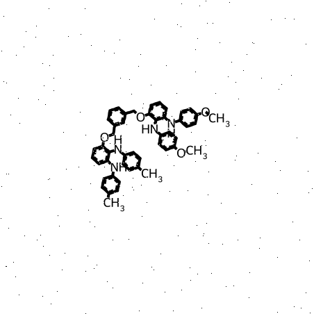 COc1ccc(Nc2cccc(OCc3cccc(COc4cccc(Nc5ccc(C)cc5)c4Nc4ccc(C)cc4)c3)c2Nc2ccc(OC)cc2)cc1